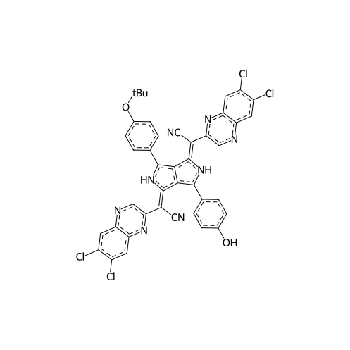 CC(C)(C)Oc1ccc(-c2[nH]/c(=C(/C#N)c3cnc4cc(Cl)c(Cl)cc4n3)c3c(-c4ccc(O)cc4)[nH]/c(=C(/C#N)c4cnc5cc(Cl)c(Cl)cc5n4)c23)cc1